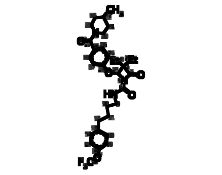 CCC1(CC)C(=O)N(C(=O)NCCCCc2ccc(OC(F)(F)F)cc2)[C@H]1Oc1ccc(C(=O)N2CCC(C)CC2)cc1